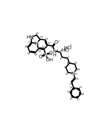 Cl.Cl.O=C(NCCCC1CCN(C=Cc2ccccc2)CC1)C1=CC2CNC3=CC=CC(=C1S(=O)(=O)O)N32